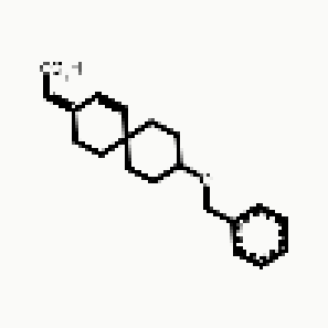 O=C(O)C=C1C=CC2(CC1)CCC(OCc1ccccc1)CC2